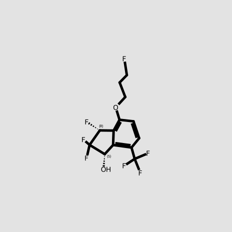 O[C@H]1c2c(C(F)(F)F)ccc(OCCCF)c2[C@@H](F)C1(F)F